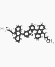 CCCCc1c2ccccc2c(-c2ccc3sc4c(-c5c6ccccc6c(CCCC)c6ccccc56)cccc4c3c2)c2ccccc12